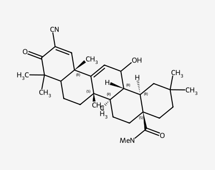 CNC(=O)[C@]12CCC(C)(C)C[C@@H]1[C@H]1C(O)C=C3[C@@]4(C)C=C(C#N)C(=O)C(C)(C)C4CC[C@@]3(C)[C@]1(C)CC2